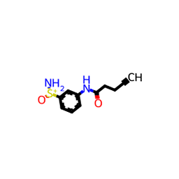 C#CCCC(=O)Nc1cccc([S+](N)[O-])c1